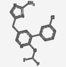 Cc1ncc(Cc2cnc(OC(F)F)c(-c3cccc(Cl)c3)c2)s1